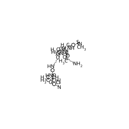 Cc1ncsc1-c1ccc([C@H](C)NC[C@@H]2C[C@@H](OC(=O)[C@@H](C)CCCCN)CN2C(=O)[C@@H](NC(=O)COCCCCCNc2ccc(C(=O)N[C@H]3C(C)(C)[C@H](Oc4ccc(C#N)c(Cl)c4)C3(C)C)cc2)C(C)(C)C)cc1